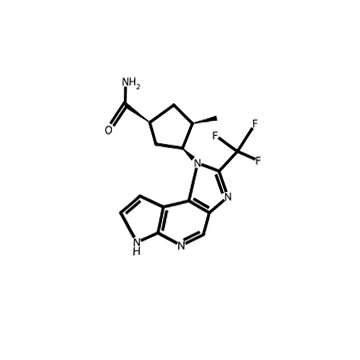 C[C@@H]1C[C@H](C(N)=O)C[C@@H]1n1c(C(F)(F)F)nc2cnc3[nH]ccc3c21